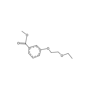 CCOCCOc1cccc(C(=O)OC)c1